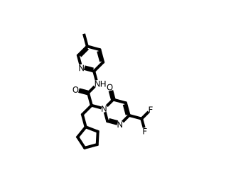 Cc1ccc(NC(=O)C(CC2CCCC2)n2cnc(C(F)F)cc2=O)nc1